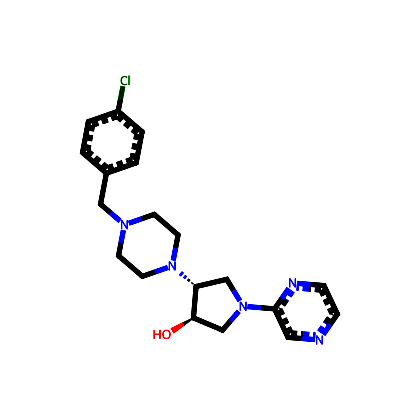 O[C@@H]1CN(c2cnccn2)C[C@H]1N1CCN(Cc2ccc(Cl)cc2)CC1